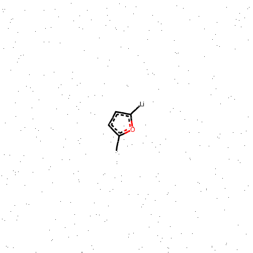 [Li][c]1ccc(C)o1